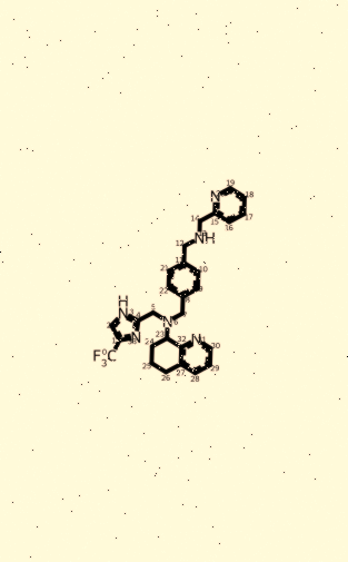 FC(F)(F)c1c[nH]c(CN(Cc2ccc(CNCc3ccccn3)cc2)C2CCCc3cccnc32)n1